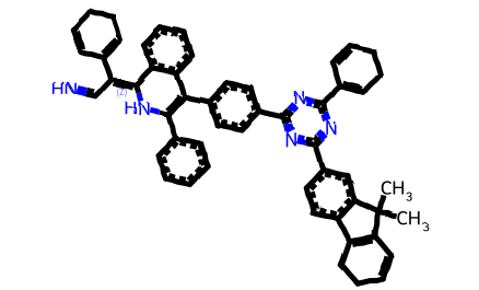 CC1(C)C2=C(CCC=C2)c2ccc(-c3nc(C4=CCCC=C4)nc(-c4ccc(C5=C(c6ccccc6)N/C(=C(\C=N)C6=CCCC=C6)c6ccccc65)cc4)n3)cc21